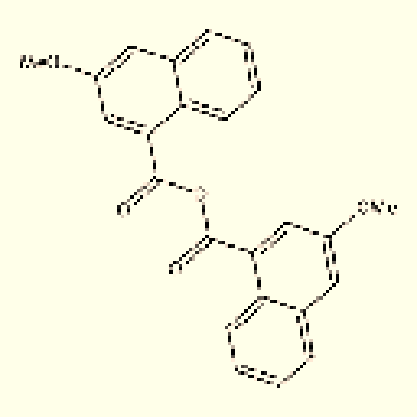 COc1cc(C(=O)OC(=O)c2cc(OC)cc3ccccc23)c2ccccc2c1